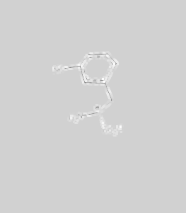 N#Cc1cccc(C[C@@H](N)C(=O)O)c1